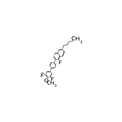 CCCCCc1ccc2c(F)c(-c3ccc(-c4cc(F)c(OC)c(F)c4)cc3)ccc2c1